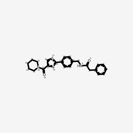 O=C(Cc1ccccc1)NCc1ccc(-c2nc(C(=O)N3CCCCC3)cs2)cc1